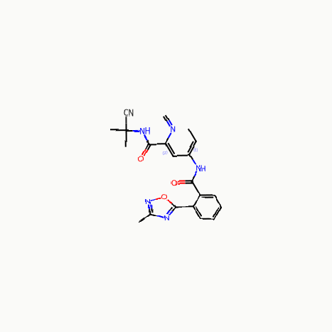 C=N/C(=C\C(=C/C)NC(=O)c1ccccc1-c1nc(C)no1)C(=O)NC(C)(C)C#N